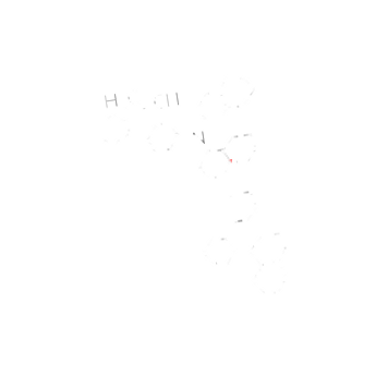 CC1(C)c2ccccc2-c2ccc(N(c3ccc(-c4ccc(-c5ccc6ccccc6c5-c5ccccc5)cc4)cc3)c3ccc4ccccc4c3-c3ccccc3)cc21